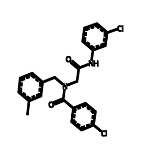 Cc1cccc(CN(CC(=O)Nc2cccc(Cl)c2)C(=O)c2ccc(Cl)cc2)c1